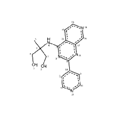 CC(CO)(CO)Nc1nc(-c2ccncc2)nc2cnccc12